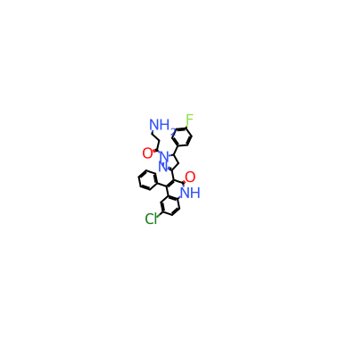 NCCC(=O)N1N=C(c2c(-c3ccccc3)c3cc(Cl)ccc3[nH]c2=O)CC1c1ccc(F)cc1